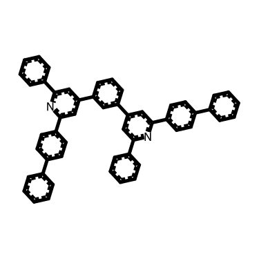 c1ccc(-c2ccc(-c3cc(-c4cccc(-c5cc(-c6ccccc6)nc(-c6ccc(-c7ccccc7)cc6)c5)c4)cc(-c4ccccc4)n3)cc2)cc1